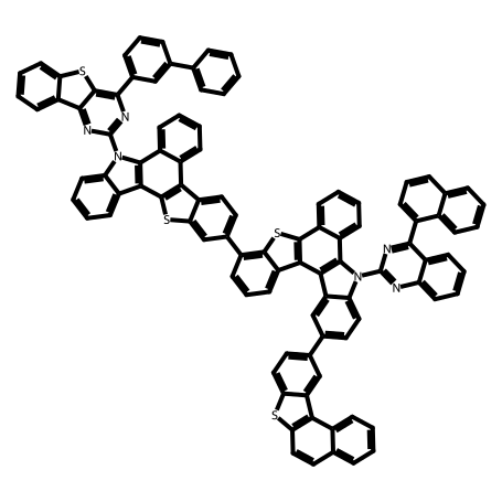 c1ccc(-c2cccc(-c3nc(-n4c5ccccc5c5c6sc7cc(-c8cccc9c8sc8c%10ccccc%10c%10c(c%11cc(-c%12ccc%13sc%14ccc%15ccccc%15c%14c%13c%12)ccc%11n%10-c%10nc(-c%11cccc%12ccccc%11%12)c%11ccccc%11n%10)c98)ccc7c6c6ccccc6c54)nc4c3sc3ccccc34)c2)cc1